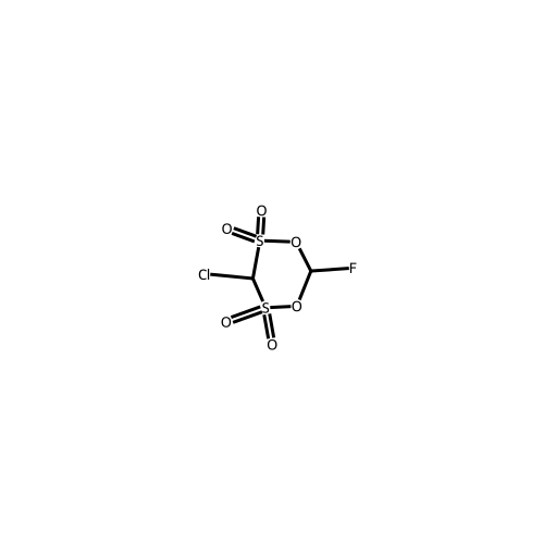 O=S1(=O)OC(F)OS(=O)(=O)C1Cl